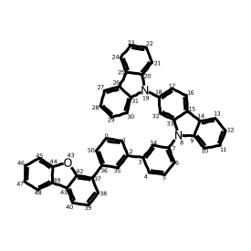 c1cc(-c2cccc(-n3c4ccccc4c4ccc(-n5c6ccccc6c6ccccc65)cc43)c2)cc(-c2cccc3c2oc2ccccc23)c1